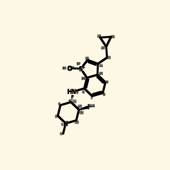 CN1CC[C@H](Nc2cccc3c(CC4CC4)c[s+]([O-])c23)[C@@H](F)C1